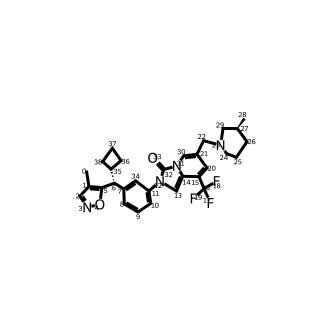 Cc1cnoc1[C@@H](c1cccc(-n2cc3c(C(F)(F)F)cc(CN4CCC[C@H](C)C4)cn3c2=O)c1)C1CCC1